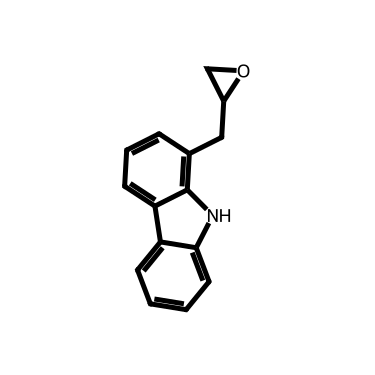 c1ccc2c(c1)[nH]c1c(CC3CO3)cccc12